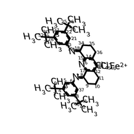 CC(C)(C)c1cc(N=C2CCCc3cc4c(nc32)C(=Nc2cc(C(C)(C)C)cc(C(C)(C)C)c2)CCC4)cc(C(C)(C)C)c1.[Cl-].[Cl-].[Fe+2]